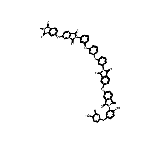 Cc1cc(Cc2ccc(O)c(N3C(=O)c4ccc(Oc5ccc6c(c5)C(=O)N(c5cccc(Oc7cccc(Oc8cccc(N9C(=O)c%10ccc(Oc%11ccc%12c(c%11)C(=O)N(C)C%12=O)cc%10C9=O)c8)c7)c5)C6=O)cc4C3=O)c2)ccc1O